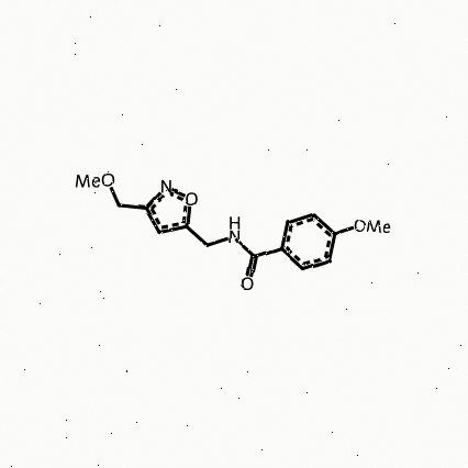 COCc1cc(CNC(=O)c2ccc(OC)cc2)on1